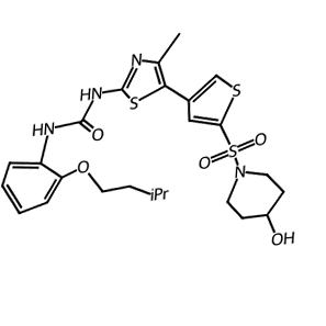 Cc1nc(NC(=O)Nc2ccccc2OCCC(C)C)sc1-c1csc(S(=O)(=O)N2CCC(O)CC2)c1